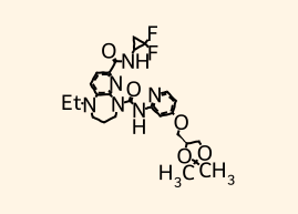 CCN1CCCN(C(=O)Nc2cc(OC[C@H]3COC(C)(C)O3)ccn2)c2nc(C(=O)NC3CC3(F)F)ccc21